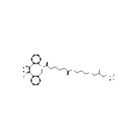 CCCCn1nnc2c1-c1ccccc1CN(C(=O)CCCCC(=O)NCCCOCC(O)COP(C)(=O)O)c1ccccc1-2